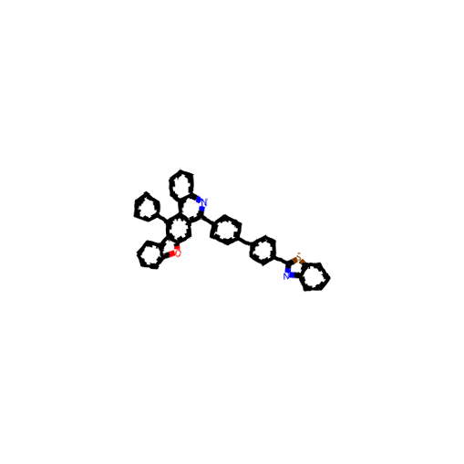 c1ccc(-c2c3c(cc4c(-c5ccc(-c6ccc(-c7nc8ccccc8s7)cc6)cc5)nc5ccccc5c24)oc2ccccc23)cc1